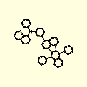 c1ccc(-c2c3c(c(-c4ccccc4)c4ccccc24)-c2ccc(-c4cccc(N(c5ccccc5)c5cccc6cccnc56)c4)c4cccc-3c24)cc1